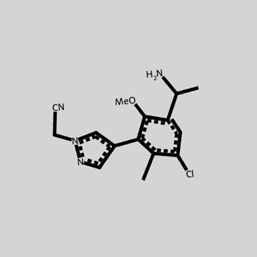 COc1c(C(C)N)cc(Cl)c(C)c1-c1cnn(CC#N)c1